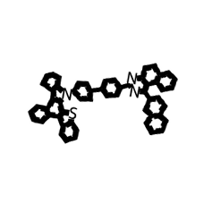 c1ccc2cc(-c3nc(-c4ccc(-c5ccc(-n6c7ccccc7c7c8ccccc8c8c9ccccc9sc8c76)cc5)cc4)nc4ccc5ccccc5c34)ccc2c1